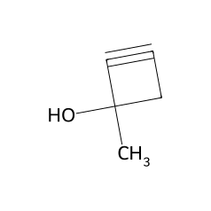 CC1(O)C#CC1